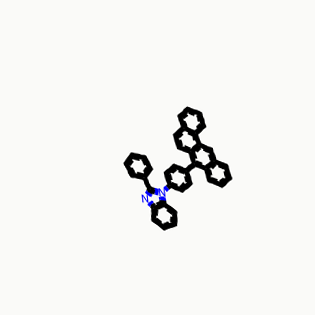 c1ccc(-c2nc3ccccc3n2-c2ccc(-c3c4ccccc4cc4c3ccc3ccccc34)cc2)cc1